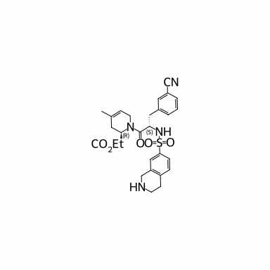 CCOC(=O)[C@H]1CC(C)=CCN1C(=O)[C@H](Cc1cccc(C#N)c1)NS(=O)(=O)c1ccc2c(c1)CNCC2